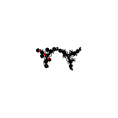 CCC(C)c1ccc(-c2cc(C#N)c(OC(=O)C3CC(C(=O)Oc4cnc(-c5ccc(C(C)CC)cc5)cc4C#N)CC(C(=O)Oc4cnc(-c5ccc(C(CC)Cc6cccc(-c7cc(-c8ccccc8)c(OC(=O)C8CC(C(=O)Oc9cnc(-c%10ccccc%10)cc9-c9ccccc9)CC(C(=O)Oc9cnc(-c%10ccccc%10)cc9-c9ccccc9)C8)cn7)c6)cc5)cc4C#N)C3)cn2)cc1